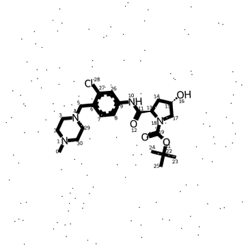 CN1CCN(Cc2ccc(NC(=O)[C@H]3C[C@H](O)CN3C(=O)OC(C)(C)C)cc2Cl)CC1